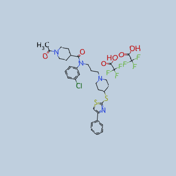 CC(=O)N1CCC(C(=O)N(CCCN2CCC(Sc3nc(-c4ccccc4)cs3)CC2)c2cccc(Cl)c2)CC1.O=C(O)C(F)(F)F.O=C(O)C(F)(F)F